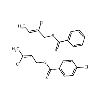 CC(Cl)=CCSC(=S)c1ccc(Cl)cc1.CC=C(Cl)CSC(=S)c1ccccc1